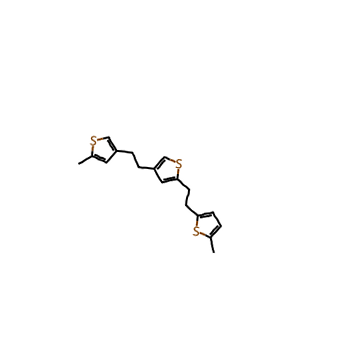 Cc1cc(CCc2csc(CCc3ccc(C)s3)c2)cs1